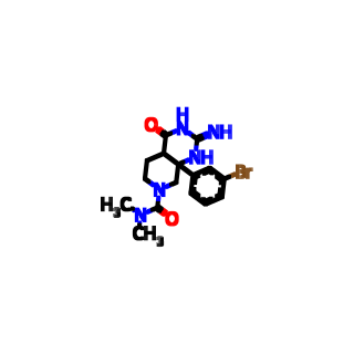 CN(C)C(=O)N1CCC2C(=O)NC(=N)NC2(c2cccc(Br)c2)C1